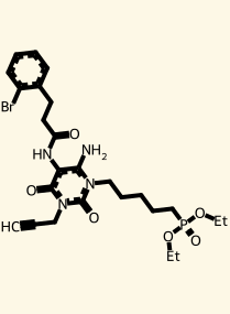 C#CCn1c(=O)c(NC(=O)CCc2ccccc2Br)c(N)n(CCCCCP(=O)(OCC)OCC)c1=O